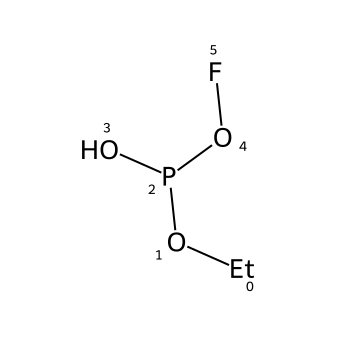 CCOP(O)OF